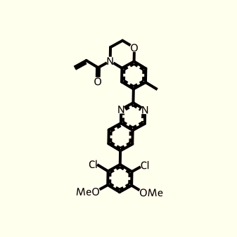 C=CC(=O)N1CCOc2cc(C)c(-c3ncc4cc(-c5c(Cl)c(OC)cc(OC)c5Cl)ccc4n3)cc21